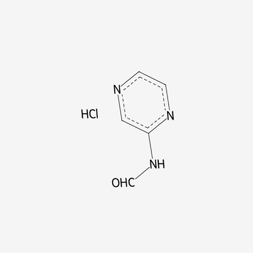 Cl.O=CNc1cnccn1